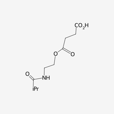 CC(C)C(=O)NCCOC(=O)CCC(=O)O